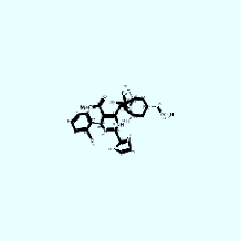 COC(=O)C1=C(CN2[C@H]3C[C@@H](CC(=O)O)C[C@@H]2C(F)(F)C3)NC(c2nccs2)=N[C@H]1c1ccccc1Cl